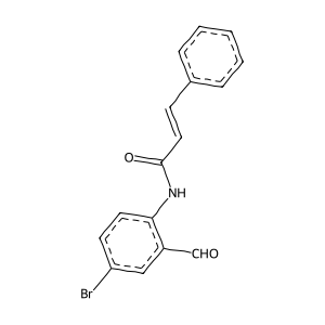 O=Cc1cc(Br)ccc1NC(=O)C=Cc1ccccc1